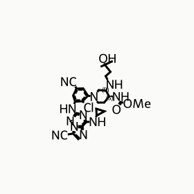 COC(=O)N[C@H]1CCN(c2cc(C#N)cc(Nc3nc(NC4CC4)c4ncc(C#N)n4n3)c2Cl)C[C@H]1NCCC(C)(C)O